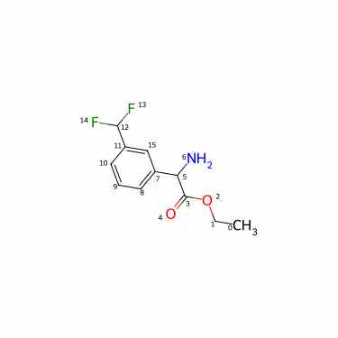 CCOC(=O)C(N)c1cccc(C(F)F)c1